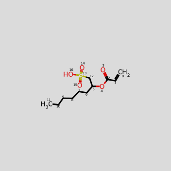 C=CC(=O)OC(CCCCCC)CS(=O)(=O)O